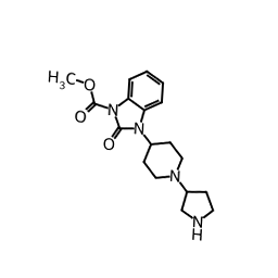 COC(=O)n1c(=O)n(C2CCN(C3CCNC3)CC2)c2ccccc21